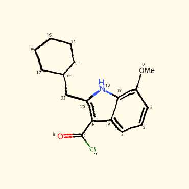 COc1cccc2c(C(=O)Cl)c(CC3CCCCC3)[nH]c12